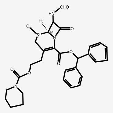 O=CNC1C(=O)N2C(C(=O)OC(c3ccccc3)c3ccccc3)=C(CCOC(=O)N3CCCCC3)C[S+]([O-])[C@@H]12